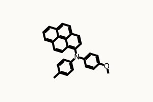 COc1ccc(N(c2ccc(C)cc2)c2ccc3ccc4cccc5ccc2c3c45)cc1